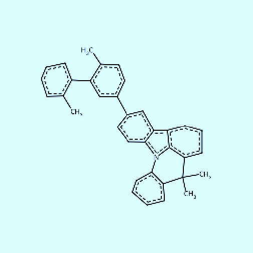 Cc1ccccc1-c1cc(-c2ccc3c(c2)c2cccc4c2n3-c2ccccc2C4(C)C)ccc1C